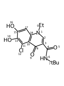 CCn1cc(C(=O)NC(C)(C)C)c(=O)c2c(Cl)c(O)c(O)cc21